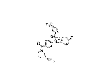 CC1CCCN(C(=O)c2ccc(N(Cc3ccc(F)cc3)S(=O)(=O)c3cn(C)cn3)cc2)C1